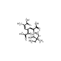 CC(=CC(C=C(C)C(=O)O)=C(C)C(=O)O)C(=O)O.CC(CO)(CO)CO